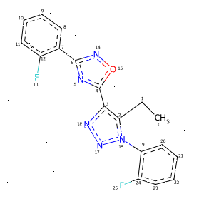 CCc1c(-c2nc(-c3ccccc3F)no2)nnn1-c1ccccc1F